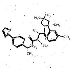 Cc1cccc([C@]2(C)CC(C)(C)CN2C(=O)[C@H](O)[C@@H](O)C(=O)N[C@H](C)c2ccc(-n3cccn3)cc2)c1